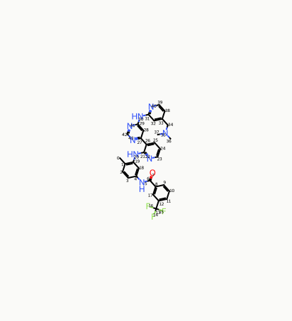 Cc1ccc(NC(=O)c2cccc(C(F)(F)F)c2)cc1Nc1ncccc1-c1cc(Nc2cc(CN(C)C)ccn2)ncn1